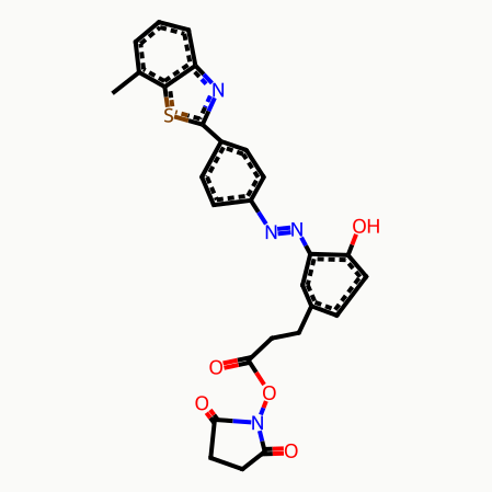 Cc1cccc2nc(-c3ccc(/N=N/c4cc(CCC(=O)ON5C(=O)CCC5=O)ccc4O)cc3)sc12